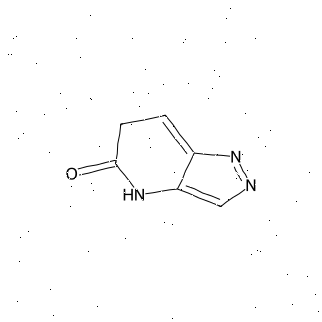 O=C1CC=C2N=NC=C2N1